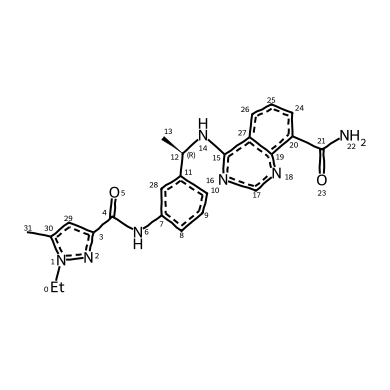 CCn1nc(C(=O)Nc2cccc([C@@H](C)Nc3ncnc4c(C(N)=O)cccc34)c2)cc1C